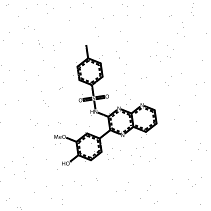 COc1cc(-c2nc3cccnc3nc2NS(=O)(=O)c2ccc(C)cc2)ccc1O